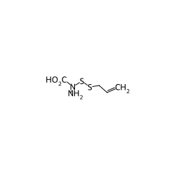 C=CCSSN(N)C(=O)O